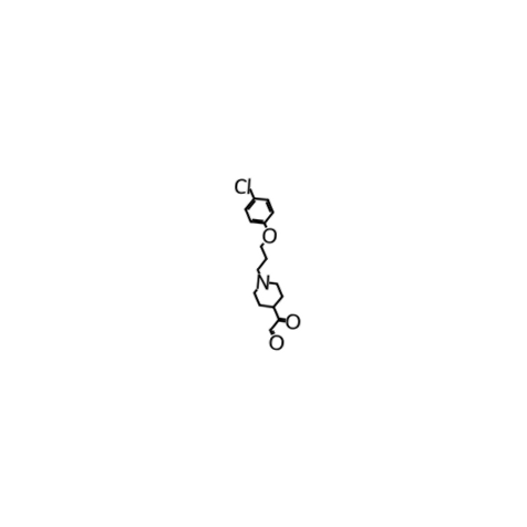 O=CC(=O)C1CCN(CCCOc2ccc(Cl)cc2)CC1